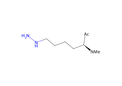 CN[C@@H](CCCCNN)C(C)=O